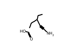 CCC(C#CN)CC.O=CO